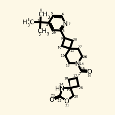 CC(C)(C)c1ccnc(C2CC3(CCN(C(=O)[C@H]4C[C@]5(COC(=O)N5)C4)CC3)C2)c1